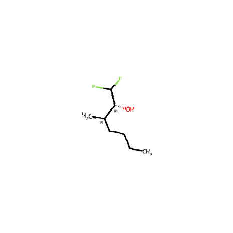 CCCC[C@@H](C)[C@@H](O)C(F)F